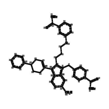 COC(=O)c1ccc(Cn2c(CCCOc3cccc(C(=O)OC)c3)c(C3=CCC(c4ccccc4)CC3)c3ccc(C(=O)O)cc32)cc1